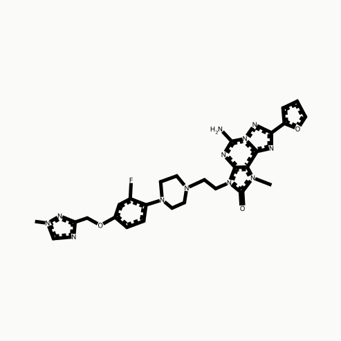 Cn1cnc(COc2ccc(N3CCN(CCn4c(=O)n(C)c5c4nc(N)n4nc(-c6ccco6)nc54)CC3)c(F)c2)n1